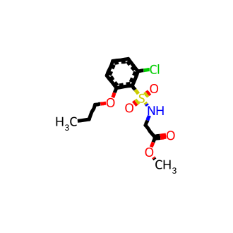 CCCOc1cccc(Cl)c1S(=O)(=O)NCC(=O)OC